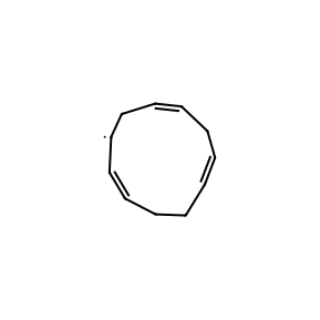 [CH]1/C=C\CC/C=C\C/C=C\C1